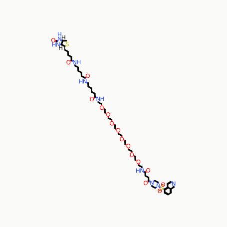 O=C(CCCCCNC(=O)CCCC[C@@H]1SC[C@@H]2NC(=O)N[C@@H]21)NCCCCCC(=O)NCCOCCOCCOCCOCCOCCOCCOCCOCCNC(=O)CCC(=O)N1CCN(S(=O)(=O)c2cccc3cnccc23)CC1